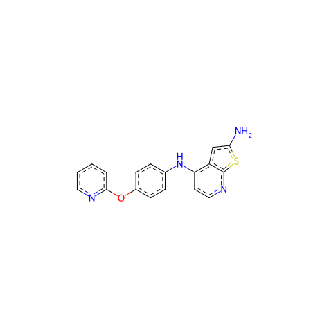 Nc1cc2c(Nc3ccc(Oc4ccccn4)cc3)ccnc2s1